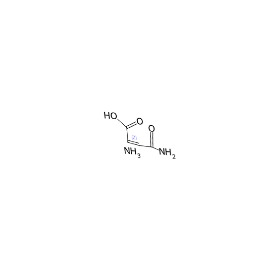 N.NC(=O)/C=C\C(=O)O